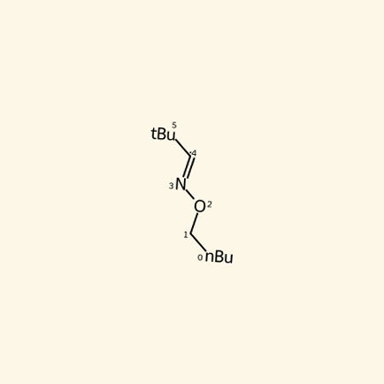 CCCCCO/N=[C]/C(C)(C)C